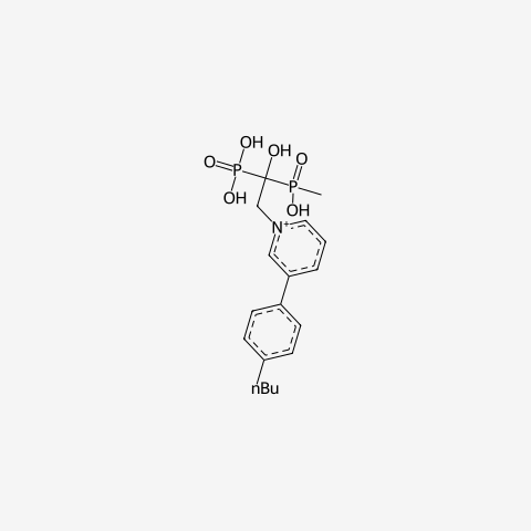 CCCCc1ccc(-c2ccc[n+](CC(O)(P(C)(=O)O)P(=O)(O)O)c2)cc1